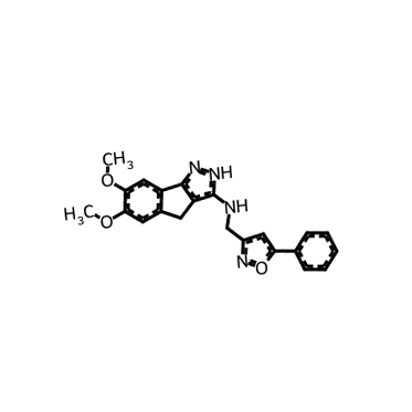 COc1cc2c(cc1OC)-c1n[nH]c(NCc3cc(-c4ccccc4)on3)c1C2